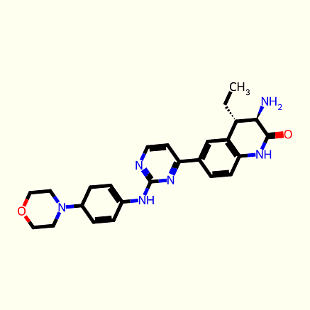 CC[C@H]1c2cc(-c3ccnc(NC4=CCC(N5CCOCC5)C=C4)n3)ccc2NC(=O)[C@@H]1N